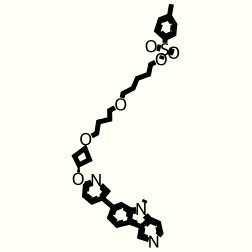 Cc1ccc(S(=O)(=O)OCCCCCOCCCCO[C@H]2C[C@H](Oc3ccc(-c4ccc5c6cnccc6n(C)c5c4)cn3)C2)cc1